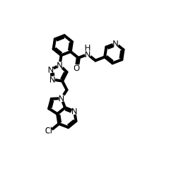 O=C(NCc1cccnc1)c1ccccc1-n1cc(Cn2ccc3c(Cl)ccnc32)nn1